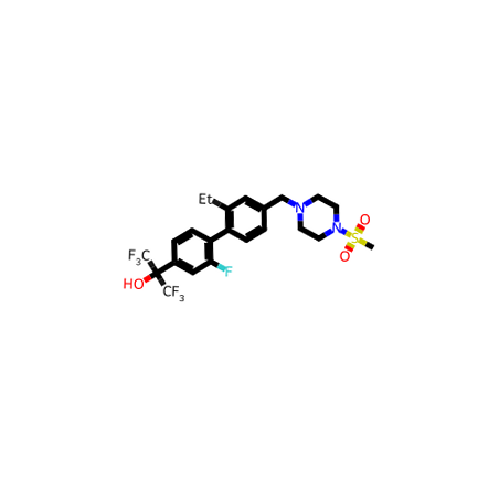 CCc1cc(CN2CCN(S(C)(=O)=O)CC2)ccc1-c1ccc(C(O)(C(F)(F)F)C(F)(F)F)cc1F